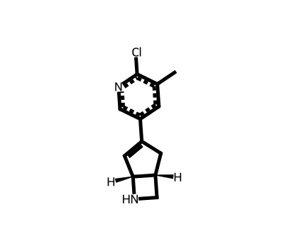 Cc1cc(C2=C[C@H]3NC[C@H]3C2)cnc1Cl